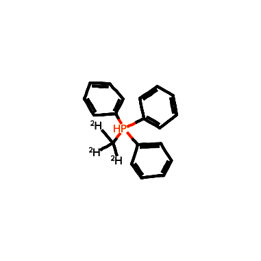 [2H]C([2H])([2H])[PH](c1ccccc1)(c1ccccc1)c1ccccc1